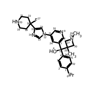 CC(C)c1ccc([C@](O)(c2cncc(-n3cnc(C4(F)CCNCC4)c3)c2)C2(C)CN(C)C2)cc1